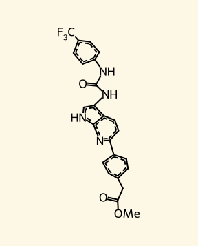 COC(=O)Cc1ccc(-c2ccc3c(NC(=O)Nc4ccc(C(F)(F)F)cc4)c[nH]c3n2)cc1